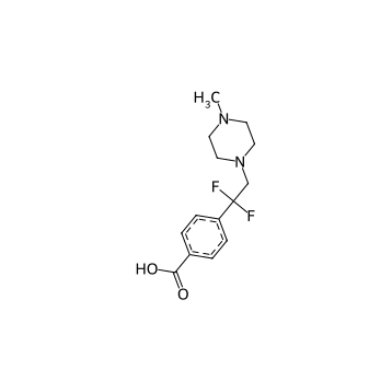 CN1CCN(CC(F)(F)c2ccc(C(=O)O)cc2)CC1